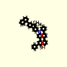 CC1(C)c2cc(-c3cccc4ccccc34)ccc2-c2ccc(N(c3ccc(-c4ccc(S)c(-c5ccccc5)c4)cc3)c3ccccc3-c3ccc(-c4ccccc4)cc3)cc21